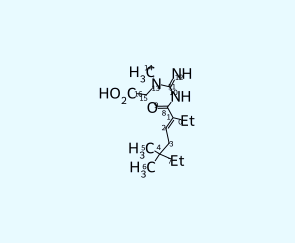 CC/C(=C\CC(C)(C)CC)C(=O)NC(=N)N(C)CC(=O)O